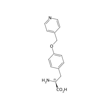 N[C@@H](Cc1ccc(OCc2ccncc2)cc1)C(=O)O